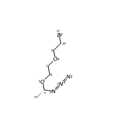 C[C@@H](N=[N+]=[N-])OCCOCCBr